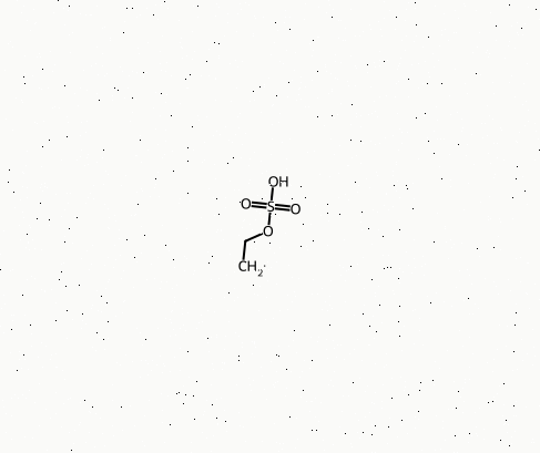 [CH2]COS(=O)(=O)O